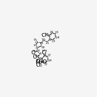 CC1=CC(C(=O)C[SH](=O)(C=O)c2c(Cl)cccc2Cl)=CC1CCc1ccccc1Cl